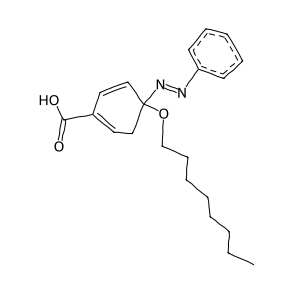 CCCCCCCCOC1(N=Nc2ccccc2)C=CC(C(=O)O)=CC1